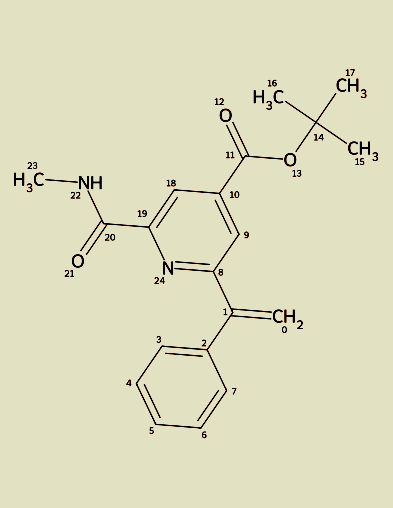 C=C(c1ccccc1)c1cc(C(=O)OC(C)(C)C)cc(C(=O)NC)n1